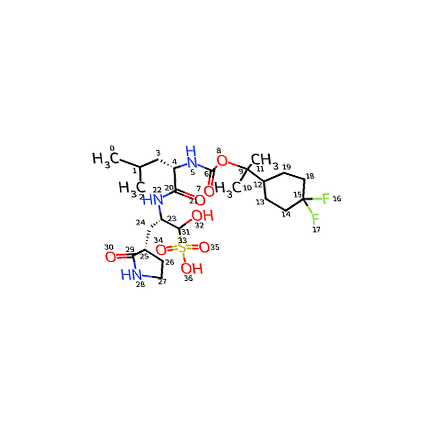 CC(C)C[C@H](NC(=O)OC(C)(C)C1CCC(F)(F)CC1)C(=O)N[C@@H](C[C@@H]1CCNC1=O)C(O)S(=O)(=O)O